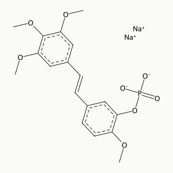 COc1ccc(C=Cc2cc(OC)c(OC)c(OC)c2)cc1OP(=O)([O-])[O-].[Na+].[Na+]